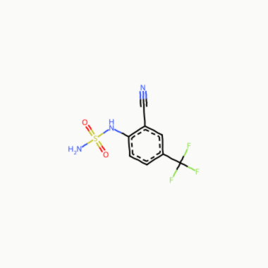 N#Cc1cc(C(F)(F)F)ccc1NS(N)(=O)=O